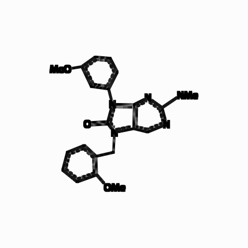 CNc1ncc2c(n1)n(-c1cccc(OC)c1)c(=O)n2Cc1ccccc1OC